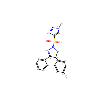 Cn1cnc(S(=O)(=O)N2CC(c3ccc(Cl)cc3)C(c3ccccc3)=N2)c1